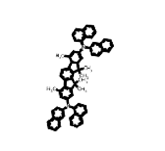 CC1=CC(N(c2ccc3ccccc3c2)c2cccc3ccccc23)=CC2C1c1ccc3c(c1C2(C)C)C(C)(C)c1cc(N(c2ccc4ccccc4c2)c2cccc4ccccc24)cc(C)c1-3